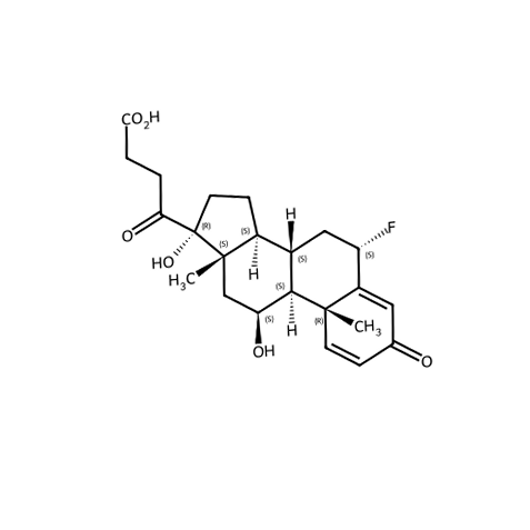 C[C@]12C=CC(=O)C=C1[C@@H](F)C[C@@H]1[C@@H]2[C@@H](O)C[C@@]2(C)[C@H]1CC[C@]2(O)C(=O)CCC(=O)O